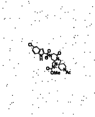 COC(=O)N(C)CC12CN(S(=O)(=O)c3cc4cc(Cl)ccc4[nH]3)CC(=O)N1CC1(CCN(C(C)=O)CC1)N2C